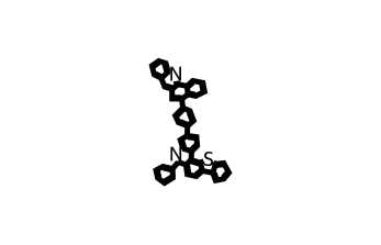 c1ccc(-c2nc3cc(-c4ccc(-c5cc6cc7ccccc7nc6c6ccccc56)cc4)ccc3c3c2ccc2c4ccccc4sc23)cc1